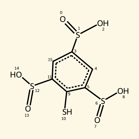 O=S(O)c1cc(S(=O)O)c(S)c(S(=O)O)c1